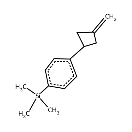 C=C1CC(c2ccc([Si](C)(C)C)cc2)C1